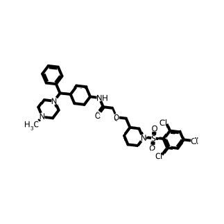 CN1CCN(C(c2ccccc2)C2CCC(NC(=O)COCC3CCCN(S(=O)(=O)c4c(Cl)cc(Cl)cc4Cl)C3)CC2)CC1